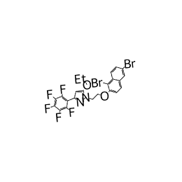 CCOc1cc(-c2c(F)c(F)c(F)c(F)c2F)nn1CCOc1ccc2cc(Br)ccc2c1Br